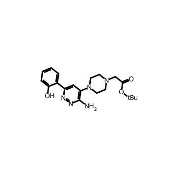 CC(C)(C)OC(=O)CN1CCN(c2cc(-c3ccccc3O)nnc2N)CC1